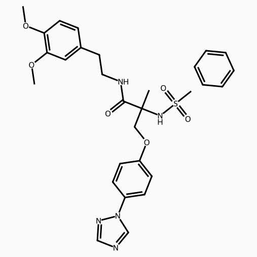 COc1ccc(CCNC(=O)C(C)(COc2ccc(-n3cncn3)cc2)NS(C)(=O)=O)cc1OC.c1ccccc1